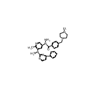 CCN1CCN(Cc2ccc(C(=O)N(N)c3cnc(C)c(N(N)c4nccc(-c5ccccc5)n4)c3)cc2)CC1